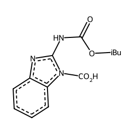 CCC(C)OC(=O)Nc1nc2ccccc2n1C(=O)O